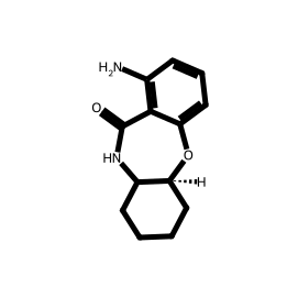 Nc1cccc2c1C(=O)NC1CCCC[C@@H]1O2